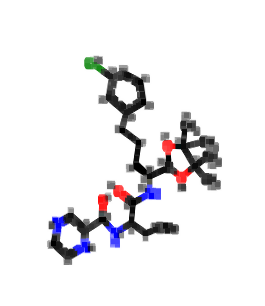 COCC(NC(=O)c1cnccn1)C(=O)N[C@@H](CCCc1cccc(Cl)c1)B1OC(C)(C)C(C)(C)O1